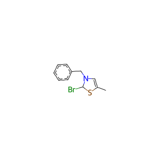 CC1=CN(Cc2ccccc2)C(Br)S1